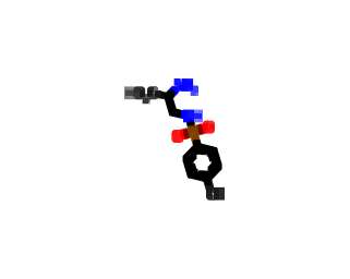 N#Cc1ccc(S(=O)(=O)NC[C@H](N)C(=O)O)cc1